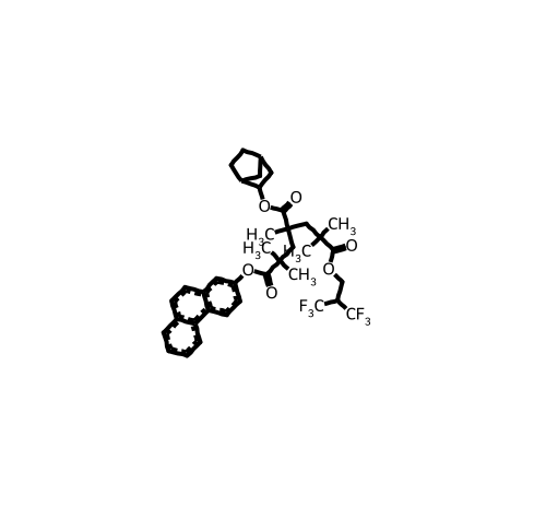 CC(C)(CC(C)(CC(C)(C)C(=O)Oc1ccc2c(ccc3ccccc32)c1)C(=O)OC1CC2CCC1C2)C(=O)OCC(C(F)(F)F)C(F)(F)F